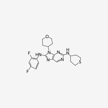 Fc1ccc(Nc2nc3cnc(NC4CCSCC4)nc3n2C2CCOCC2)c(F)c1